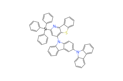 c1ccc([Si](c2ccccc2)(c2ccccc2)c2cc(-n3c4ccccc4c4cc(-n5c6ccccc6c6ccccc65)ccc43)c3sc4ccccc4c3n2)cc1